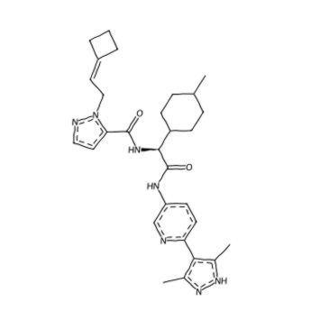 Cc1n[nH]c(C)c1-c1ccc(NC(=O)[C@@H](NC(=O)c2ccnn2CC=C2CCC2)C2CCC(C)CC2)cn1